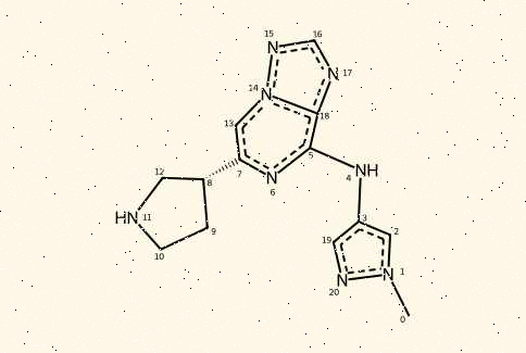 Cn1cc(Nc2nc([C@@H]3CCNC3)cn3ncnc23)cn1